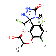 CC(Oc1cc(C2(C(F)F)NNC(=O)N2C)c(F)cc1Cl)C(=O)O